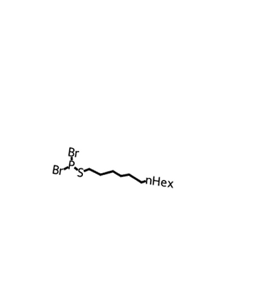 CCCCCCCCCCCCSP(Br)Br